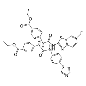 CCOC(=O)c1ccc(NC(=O)Nc2ccc(-n3ccnc3)cc2)cc1.CCOC(=O)c1ccc(NC(=O)Nc2nc3ccc(F)cc3s2)cc1